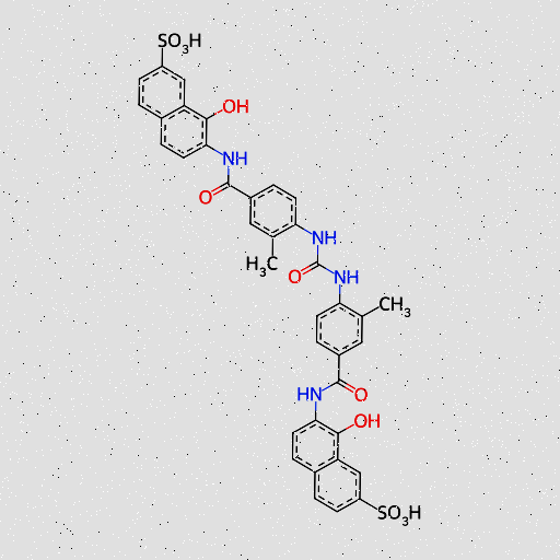 Cc1cc(C(=O)Nc2ccc3ccc(S(=O)(=O)O)cc3c2O)ccc1NC(=O)Nc1ccc(C(=O)Nc2ccc3ccc(S(=O)(=O)O)cc3c2O)cc1C